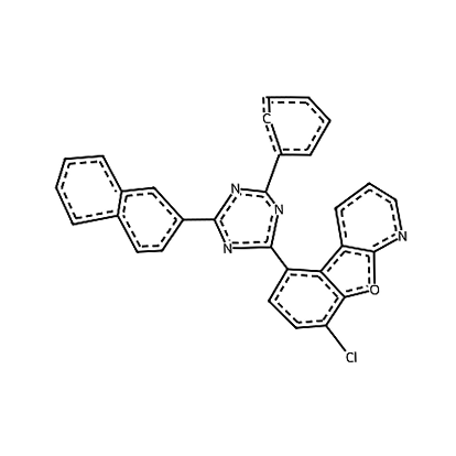 Clc1ccc(-c2nc(-c3ccccc3)nc(-c3ccc4ccccc4c3)n2)c2c1oc1ncccc12